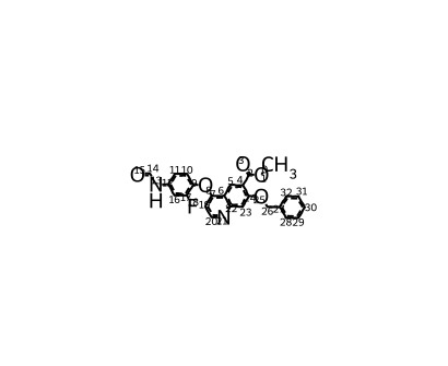 COC(=O)c1cc2c(Oc3ccc(NC=O)cc3F)ccnc2cc1OCc1ccccc1